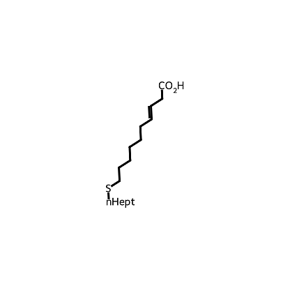 CCCCCCCSCCCCCCC=CCC(=O)O